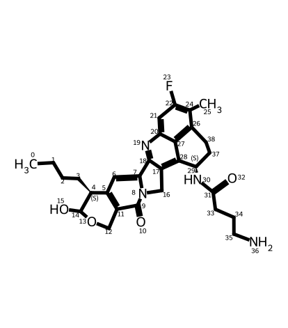 CCCC[C@H]1c2cc3n(c(=O)c2COC1O)Cc1c-3nc2cc(F)c(C)c3c2c1[C@@H](NC(=O)CCCN)CC3